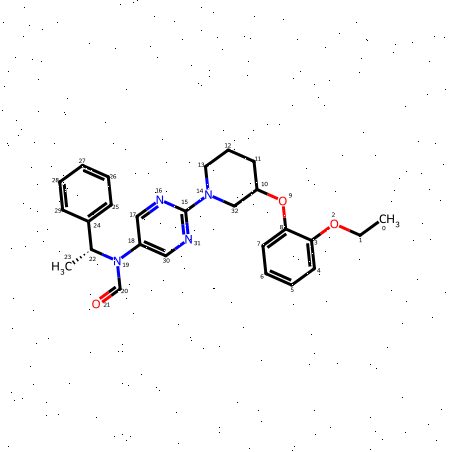 CCOc1ccccc1OC1CCCN(c2ncc(N(C=O)[C@H](C)c3ccccc3)cn2)C1